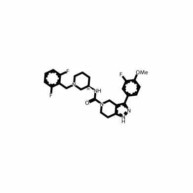 COc1ccc(-c2n[nH]c3c2CN(C(=O)N[C@@H]2CCCN(Cc4c(F)cccc4F)C2)CC3)cc1F